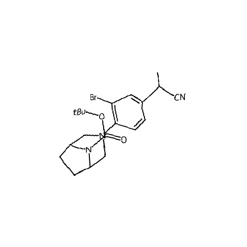 CC(C#N)c1ccc(N2CC3CCC(C2)N3C(=O)OC(C)(C)C)c(Br)c1